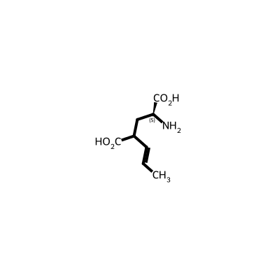 CC=CC(C[C@H](N)C(=O)O)C(=O)O